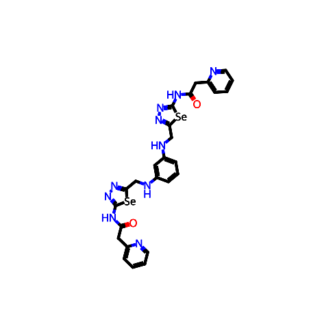 O=C(Cc1ccccn1)Nc1nnc(CNc2cccc(NCc3nnc(NC(=O)Cc4ccccn4)[se]3)c2)[se]1